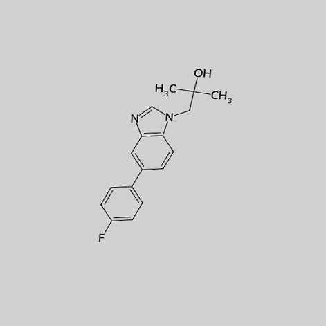 CC(C)(O)Cn1cnc2cc(-c3ccc(F)cc3)ccc21